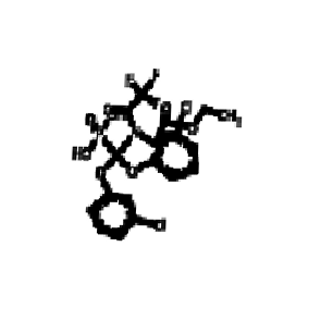 CCOC(=O)CN(C(=O)C(F)(F)F)C(Oc1cccc(Cl)c1)(Oc1cccc(Cl)c1)P(=O)(O)O